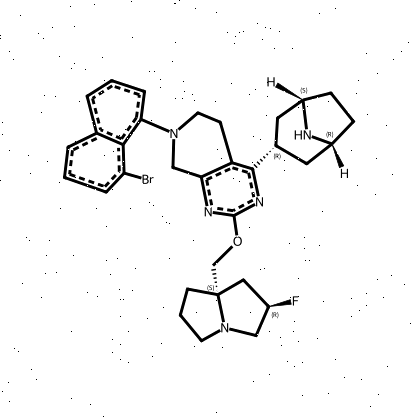 F[C@H]1CN2CCC[C@@]2(COc2nc3c(c([C@H]4C[C@H]5CC[C@@H](C4)N5)n2)CCN(c2cccc4cccc(Br)c24)C3)C1